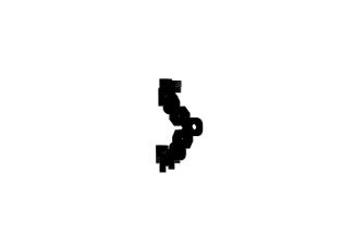 O=C(c1ccc(OCC(F)(F)F)cc1)c1ccc(OCC(F)(F)F)cc1